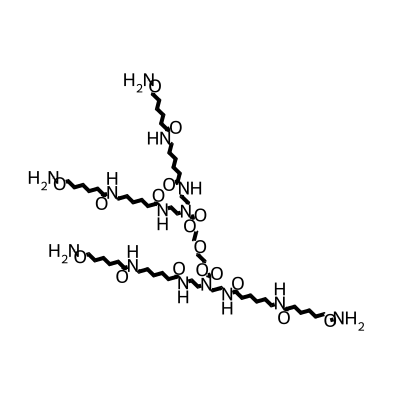 NOCCCCCC(=O)NCCCCCC(=O)NCCN(CCNC(=O)CCCCCNC(=O)CCCCCON)C(=O)OCCOCCOC(=O)N(CCNC(=O)CCCCCNC(=O)CCCCCON)CCNC(=O)CCCCCNC(=O)CCCCCON